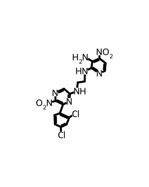 Nc1c([N+](=O)[O-])ccnc1NCCNc1cnc([N+](=O)[O-])c(-c2ccc(Cl)cc2Cl)n1